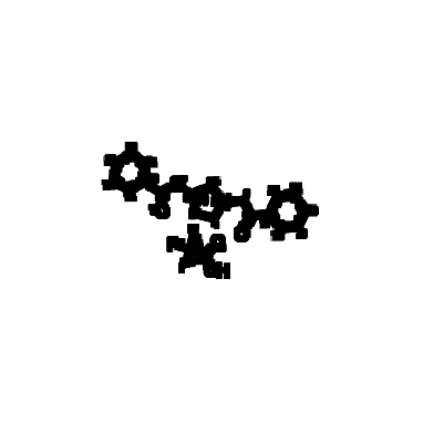 O=C(CN1CC[C@@H](SC(=O)c2ccccc2)C1)c1ccccc1.O=C(O)C(F)(F)F